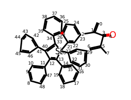 C=C(C)C(=O)C(=C)C.c1ccc(C2=C(c3ccccc3)[Si](c3ccccc3)(c3ccccc3)C(c3ccccc3)=C2c2ccccc2)cc1